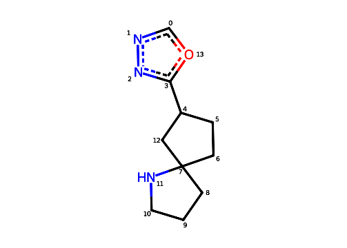 c1nnc(C2CCC3(CCCN3)C2)o1